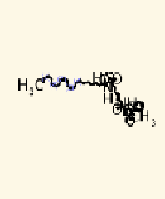 CC/C=C\C/C=C\C/C=C\C/C=C\C/C=C\CC=CCCC(=O)NC(CCCCNC(=O)C1=CC(=O)C(C)(c2ccccc2)O1)C(=O)O